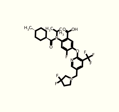 CC(C)N(c1cc(F)c(Oc2ncc(CN3CCC(F)(F)C3)cc2C(F)(F)F)cc1C(=O)O)C(=O)[C@H]1CC[C@H](C)CC1